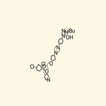 CCC(C)N1N=CN(c2ccc(N3CCN(c4ccc(OCC5COC(Cc6ccncc6)(c6ccc(Cl)cc6Cl)O5)cc4)CC3)cc2)C1O